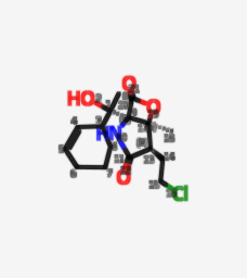 CC(O)(C1C=CCCC1)[C@@]12NC(=O)[C@H](CCCl)[C@]1(C)OC2=O